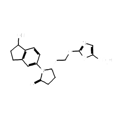 O=C(O)c1cnc(OCC[C@@H]2CCC(=O)N2c2ccc3c(c2)CCC3O)o1